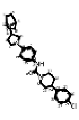 O=C(Nc1ccc(N2CCC(N3C4CCC3CC4)C2)cc1)N1CCC(c2ccc(Cl)cc2)CC1